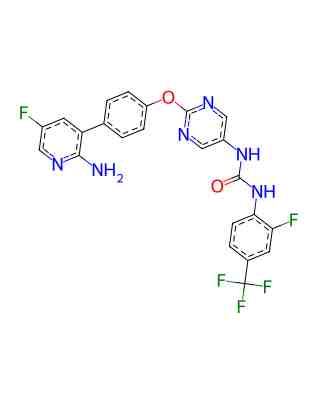 Nc1ncc(F)cc1-c1ccc(Oc2ncc(NC(=O)Nc3ccc(C(F)(F)F)cc3F)cn2)cc1